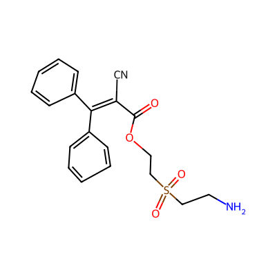 N#CC(C(=O)OCCS(=O)(=O)CCN)=C(c1ccccc1)c1ccccc1